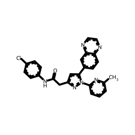 Cc1cccc(-n2nc(CC(=O)Nc3ccc(Cl)cc3)cc2-c2ccc3nccnc3c2)n1